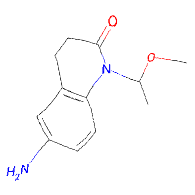 COC(C)N1C(=O)CCc2cc(N)ccc21